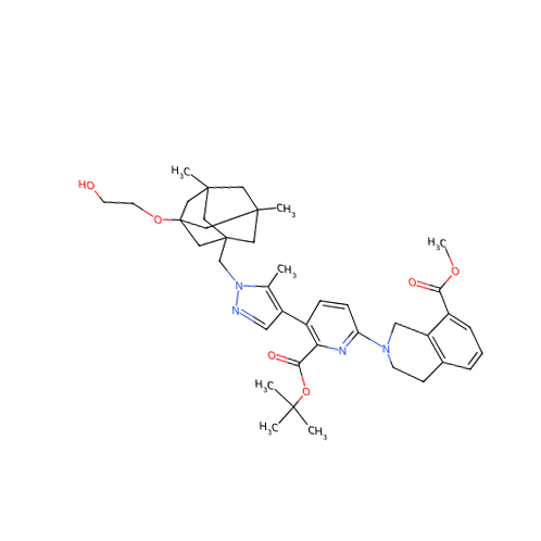 COC(=O)c1cccc2c1CN(c1ccc(-c3cnn(CC45CC6(C)CC(C)(C4)CC(OCCO)(C6)C5)c3C)c(C(=O)OC(C)(C)C)n1)CC2